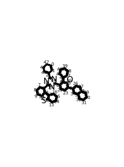 C1=CC(c2nc(-c3cccc4sc5ccccc5c34)nc(-c3ccc(-c4ccc5ccccc5c4)c4oc5ccccc5c34)n2)=CCC1